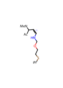 CNC(/C=C\NCOCCSC(C)C)C(C)=O